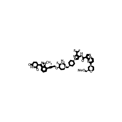 COC[C@H]1CN(c2ccn3ncc(C(=O)Nc4cn([C@H]5CC[C@H](CN6CC[C@@H](OCC#Cc7cccc8c(C9CCC(=O)NC9=O)nn(C)c78)[C@@H](F)[SiH2]C6)CC5)nc4C(F)F)c3n2)CCO1